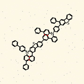 c1ccc(-c2ccc(N(c3ccc(-c4cc5sc6ccccc6c5cc4-c4ccccc4)cc3)c3ccccc3-c3cccc(-c4ccc5c(c4)sc4cc(N(c6ccc(-c7ccccc7)cc6)c6ccc(-c7ccccc7)cc6)c(-c6ccccc6)cc45)c3)cc2)cc1